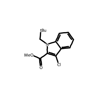 COC(=O)c1c(Cl)c2ccccc2n1CC(C)(C)C